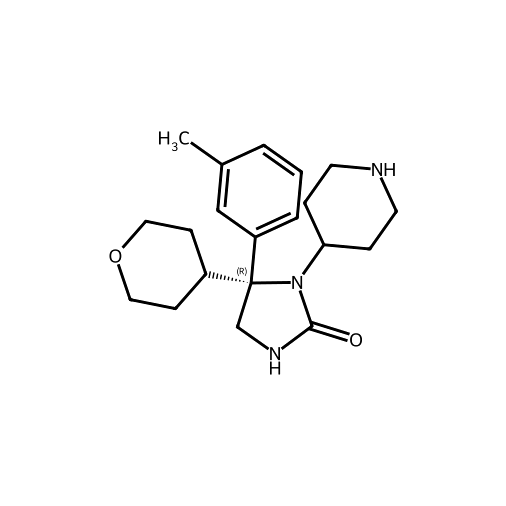 Cc1cccc([C@]2(C3CCOCC3)CNC(=O)N2C2CCNCC2)c1